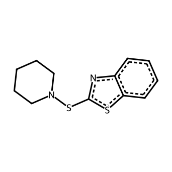 c1ccc2sc(SN3CCCCC3)nc2c1